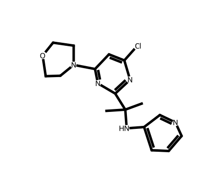 CC(C)(Nc1cccnc1)c1nc(Cl)cc(N2CCOCC2)n1